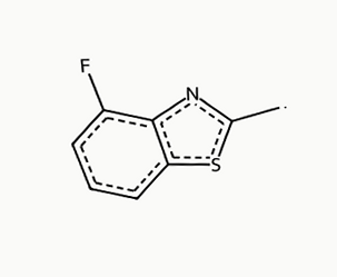 [CH2]c1nc2c(F)cccc2s1